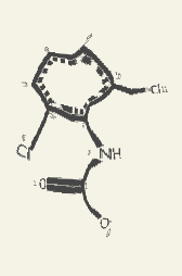 [O]C(=O)Nc1c(Cl)cccc1Cl